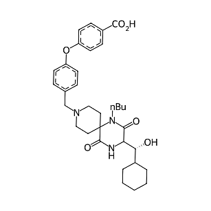 CCCCN1C(=O)C([C@H](O)C2CCCCC2)NC(=O)C12CCN(Cc1ccc(Oc3ccc(C(=O)O)cc3)cc1)CC2